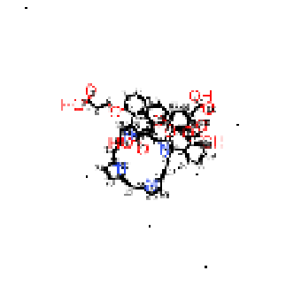 O=C(O)CCOc1ccccc1C1=CC2=CC3=NC(=CC4=NC(=CC5=NC(=C(c6ccccc6OCCC(=O)O)C1=N2)C(c1ccccc1OCCC(=O)O)=C5c1ccccc1OCCC(=O)O)C=C4)C=C3